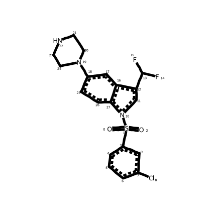 O=S(=O)(c1cccc(Cl)c1)n1cc(C(F)F)c2cc(N3CCNCC3)ccc21